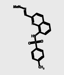 CN/N=C/c1ccc2cccc(NS(=O)(=O)c3ccc(C)cc3)c2n1